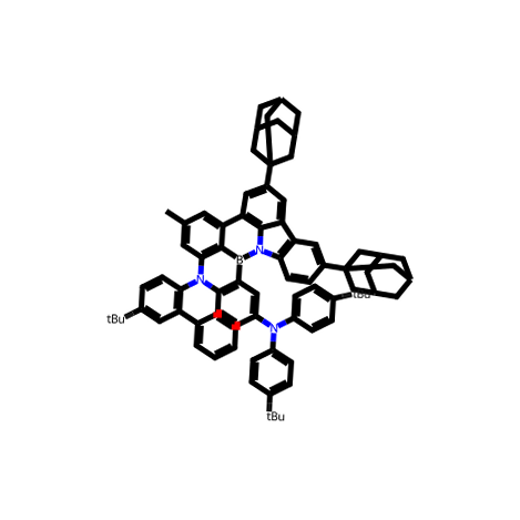 Cc1cc2c3c(c1)N(c1ccc(C(C)(C)C)cc1-c1ccccc1)c1ccc(N(c4ccc(C(C)(C)C)cc4)c4ccc(C(C)(C)C)cc4)cc1B3n1c3ccc(C45CC6CC(CC(C6)C4)C5)cc3c3cc(C45CC6CC(CC(C6)C4)C5)cc-2c31